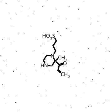 C=CC(=O)C1(C)CNCCN1CCCS(=O)(=O)O